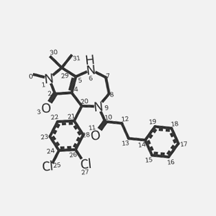 CN1C(=O)C2=C(NCCN(C(=O)CCc3ccccc3)C2c2ccc(Cl)c(Cl)c2)C1(C)C